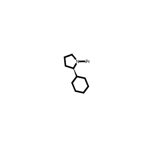 CC(C)N1CCC[C@@H]1C1CCCCC1